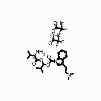 CC(C)C(OC(=O)[C@@H](N)C(C)C)OC(=O)n1cc(CCN(C)C)c2ccccc21.O=C(O)C(F)(F)F.O=C(O)C(F)(F)F